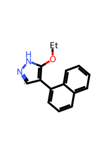 CCOc1[nH]n[c]c1-c1cccc2ccccc12